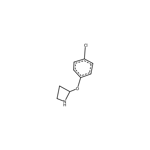 Clc1ccc(OC2CCN2)cc1